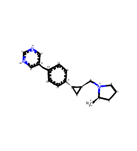 C[C@@H]1CCCN1C[C@H]1C[C@@H]1c1ccc(-c2cncnc2)cc1